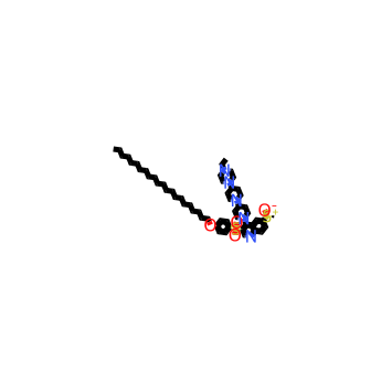 CCCCCCCCCCCCCCCCCCCCCCOc1ccc(S(=O)(=O)c2cnc3ccc([S@+](C)[O-])cc3c2N2CCC(N3CCC(N4CCN(CC)CC4)CC3)CC2)cc1